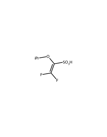 CC(C)OC(=C(F)F)S(=O)(=O)O